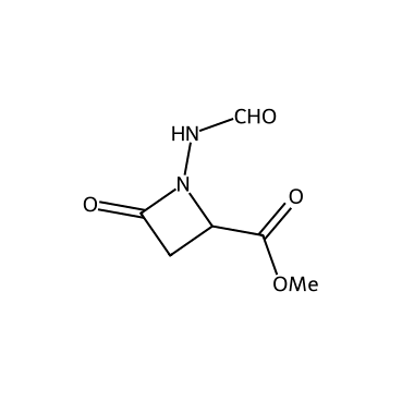 COC(=O)C1CC(=O)N1NC=O